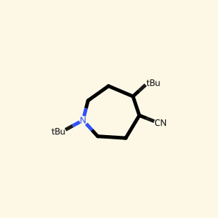 CC(C)(C)C1CCN(C(C)(C)C)CCC1C#N